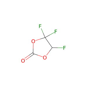 O=C1OC(F)C(F)(F)O1